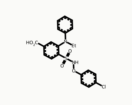 CCN(c1ccccc1)c1cc(C(=O)O)ccc1S(=O)(=O)NOc1ccc(Cl)cc1